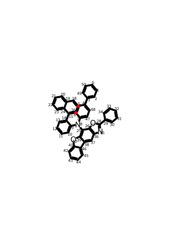 c1ccc(-c2ccc(N(c3ccccc3-c3cccc4ccccc34)c3c4oc(-c5ccccc5)nc4cc4c3oc3ccccc34)cc2)cc1